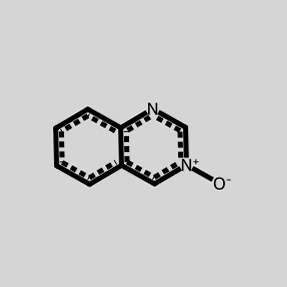 [O-][n+]1cnc2ccccc2c1